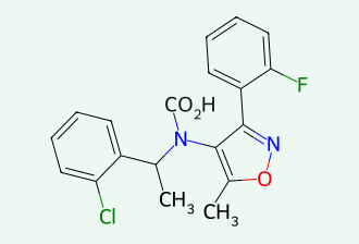 Cc1onc(-c2ccccc2F)c1N(C(=O)O)C(C)c1ccccc1Cl